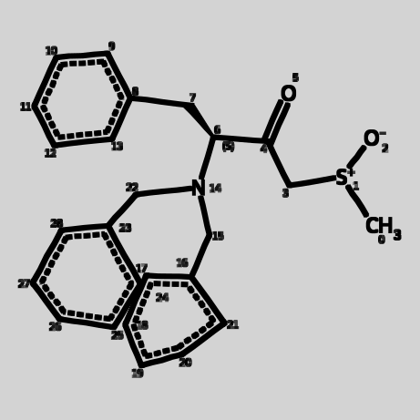 C[S+]([O-])CC(=O)[C@H](Cc1ccccc1)N(Cc1ccccc1)Cc1ccccc1